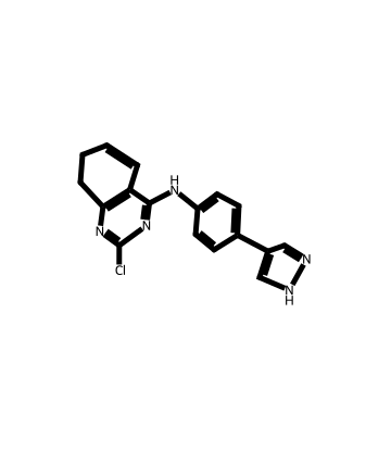 Clc1nc2c(c(Nc3ccc(-c4cn[nH]c4)cc3)n1)C=CCC2